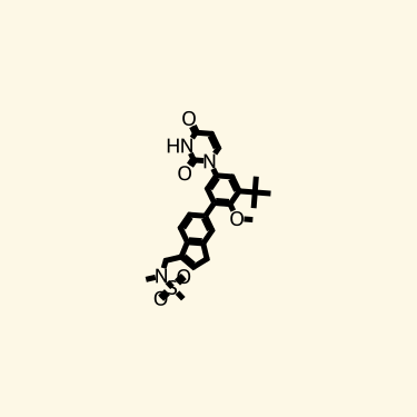 COc1c(-c2ccc3c(c2)CC=C3CN(C)S(C)(=O)=O)cc(-n2ccc(=O)[nH]c2=O)cc1C(C)(C)C